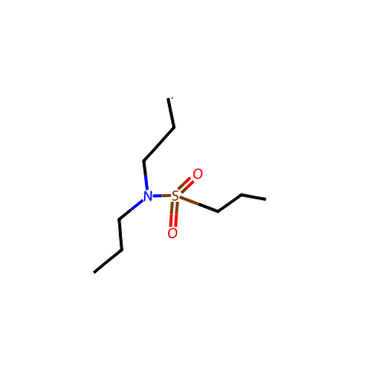 [CH2]CCN(CCC)S(=O)(=O)CCC